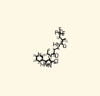 CCN(C(=O)CCNC(=O)C(C)CC(F)(F)F)c1c(Cl)n[nH]c1-c1cccnc1